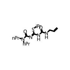 C=CCNC(=O)NC(=NC(=O)N(CCC)CCC)SC(C)C